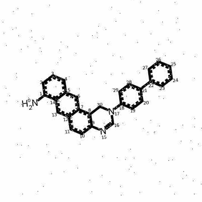 Nc1cccc2cc3c4c(ccc3cc12)N=CN(c1ccc(-c2ccccc2)cc1)C4